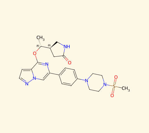 C[C@@H](Oc1nc(-c2ccc(N3CCN(S(C)(=O)=O)CC3)cc2)cn2nccc12)[C@H]1CNC(=O)C1